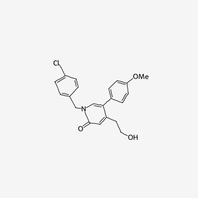 COc1ccc(-c2cn(Cc3ccc(Cl)cc3)c(=O)cc2CCO)cc1